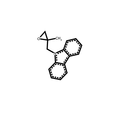 CC1(Cn2c3ccccc3c3ccccc32)CO1